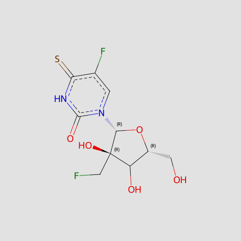 O=c1[nH]c(=S)c(F)cn1[C@@H]1O[C@H](CO)C(O)[C@]1(O)CF